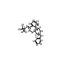 CC1(C)C(CN2CCC3CN(Cc4ccccc4)CCN3c3ncccc32)C1(C)C